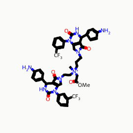 COC(=O)C[N+](C)(CCCN1CC2=C(C1=O)C(c1ccc(N)cc1)NC(=O)N2c1cccc(C(F)(F)F)c1)CCN1CC2=C(C1=O)C(c1ccc(N)cc1)NC(=O)N2c1cccc(C(F)(F)F)c1